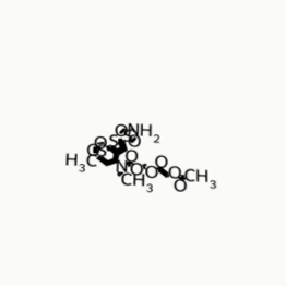 CCN(C(=O)OCOC(=O)COC(C)=O)[C@H]1C[C@H](C)S(=O)(=O)c2sc(S(N)(=O)=O)cc21